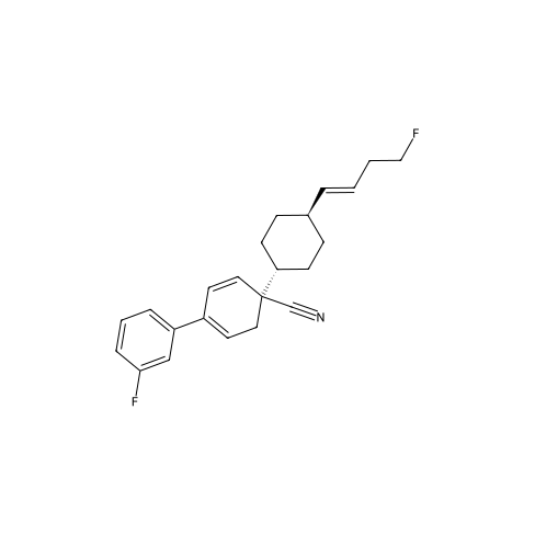 N#CC1([C@H]2CC[C@H](C=CCCF)CC2)C=CC(c2cccc(F)c2)=CC1